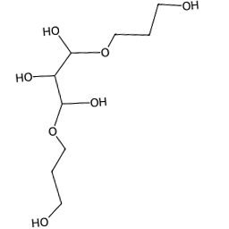 OCCCOC(O)C(O)C(O)OCCCO